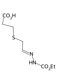 CCOC(=O)NN=CCSCCC(=O)O